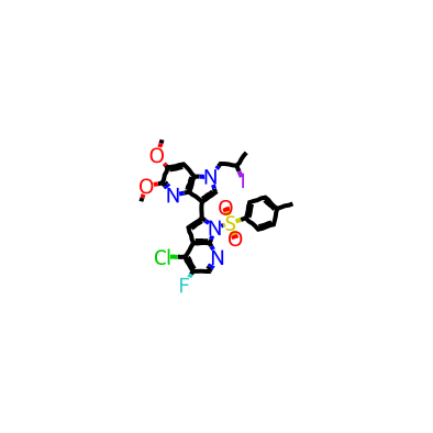 COc1cc2c(nc1OC)c(-c1cc3c(Cl)c(F)cnc3n1S(=O)(=O)c1ccc(C)cc1)cn2CC(C)I